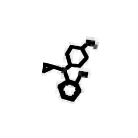 NC1CCC(N(c2ccccc2O)C2CC2)CC1